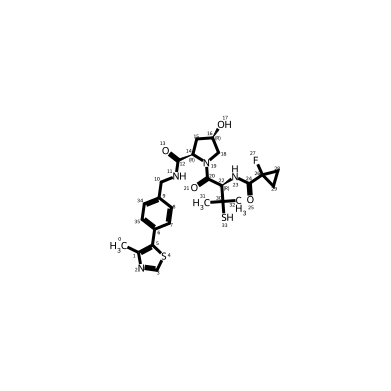 Cc1ncsc1-c1ccc(CNC(=O)[C@H]2C[C@@H](O)CN2C(=O)[C@@H](NC(=O)C2(F)CC2)C(C)(C)S)cc1